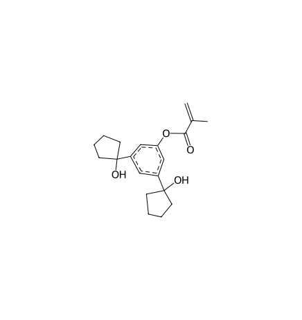 C=C(C)C(=O)Oc1cc(C2(O)CCCC2)cc(C2(O)CCCC2)c1